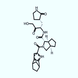 O=C1NCC[C@H]1C[C@H](NC(=O)[C@@H]1[C@H]2CCC[C@H]2CN1C(=O)c1cc2c([nH]1)C1CCC2C1)C(=O)CO